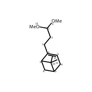 COC(CCC1=CCC2CC1C2(C)C)OC